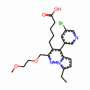 CCc1ccc2c(-c3cncc(Br)c3)c(CCCCC(=O)O)c(COCCOC)nn12